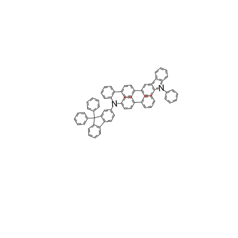 c1ccc(-c2ccc(N(c3ccc4c(c3)C(c3ccccc3)(c3ccccc3)c3ccccc3-4)c3ccccc3-c3ccc(-c4ccc5c(c4)c4ccccc4n5-c4ccccc4)cc3)cc2)cc1